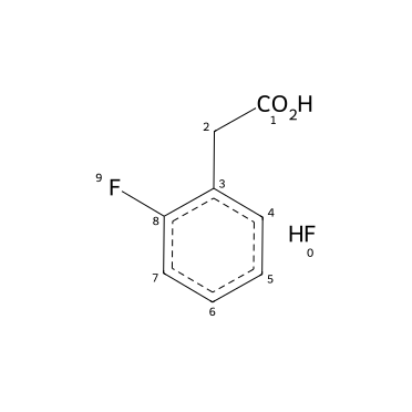 F.O=C(O)Cc1ccccc1F